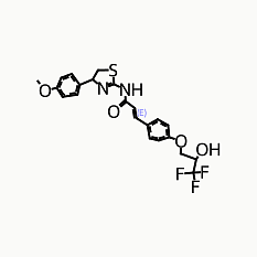 COc1ccc(C2CSC(NC(=O)/C=C/c3ccc(OCC(O)C(F)(F)F)cc3)=N2)cc1